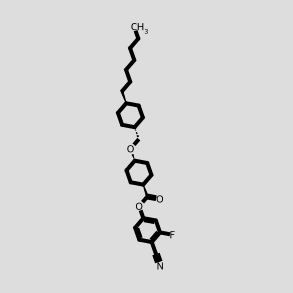 CCCCCCC[C@H]1CC[C@H](CO[C@H]2CC[C@H](C(=O)Oc3ccc(C#N)c(F)c3)CC2)CC1